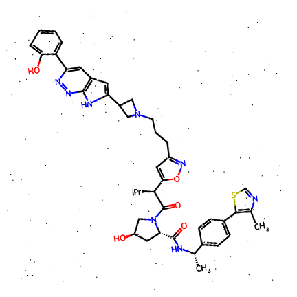 Cc1ncsc1-c1ccc([C@H](C)NC(=O)[C@@H]2C[C@@H](O)CN2C(=O)[C@H](c2cc(CCCN3CC(c4cc5cc(-c6ccccc6O)nnc5[nH]4)C3)no2)C(C)C)cc1